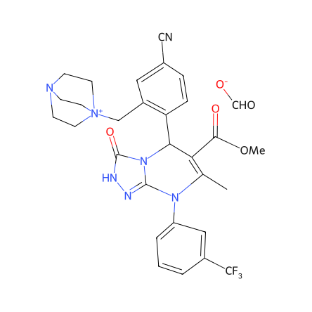 COC(=O)C1=C(C)N(c2cccc(C(F)(F)F)c2)c2n[nH]c(=O)n2C1c1ccc(C#N)cc1C[N+]12CCN(CC1)CC2.O=C[O-]